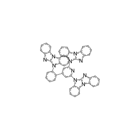 c1ccc(-n2c3ccccc3n3c4ccccc4nc23)c(-c2cc(-n3c4ccccc4n4c5ccccc5nc34)nc(-n3c4ccccc4n4c5ccccc5nc34)c2)c1